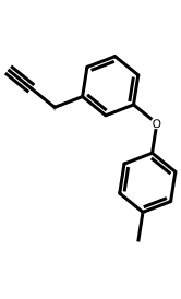 C#C[CH]c1cccc(Oc2ccc(C)cc2)c1